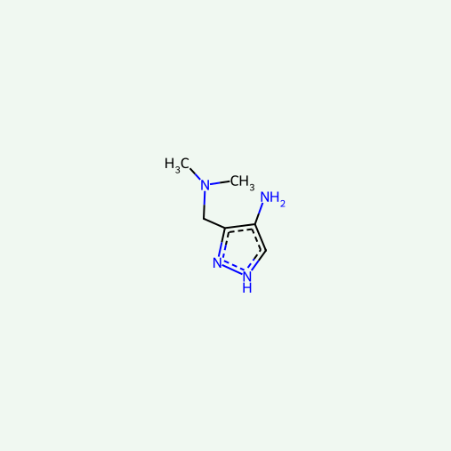 CN(C)Cc1n[nH]cc1N